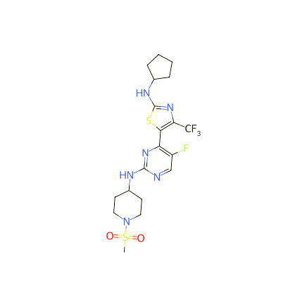 CS(=O)(=O)N1CCC(Nc2ncc(F)c(-c3sc(NC4CCCC4)nc3C(F)(F)F)n2)CC1